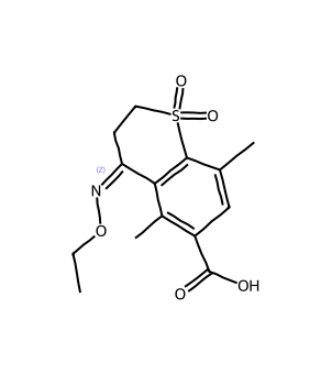 CCO/N=C1/CCS(=O)(=O)c2c(C)cc(C(=O)O)c(C)c21